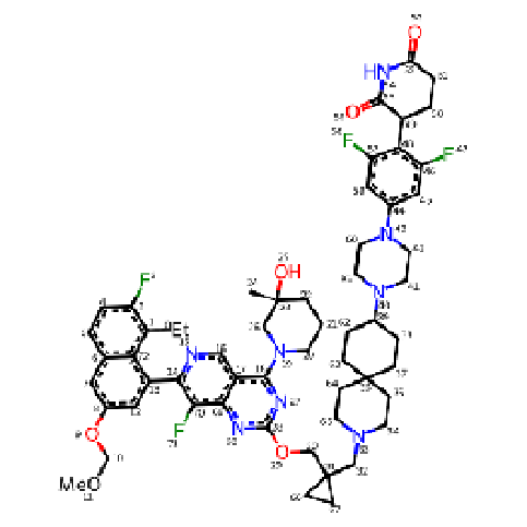 CCc1c(F)ccc2cc(OCOC)cc(-c3ncc4c(N5CCC[C@@](C)(O)C5)nc(OCC5(CN6CCC7(CCC(N8CCN(c9cc(F)c(C%10CCC(=O)NC%10=O)c(F)c9)CC8)CC7)CC6)CC5)nc4c3F)c12